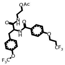 CC(=O)OCCNC(=O)C(Cc1ccc(OC(F)(F)F)cc1)NC(=O)c1ccc(OCCC(F)(F)F)cc1